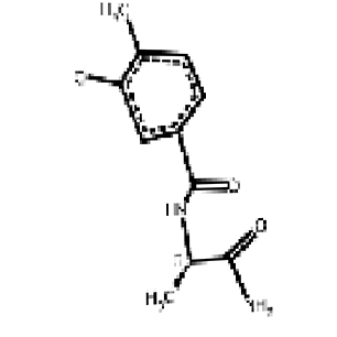 Cc1ccc(C(=O)N[C@H](C)C(N)=O)cc1Cl